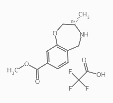 COC(=O)c1ccc2c(c1)OC[C@H](C)NC2.O=C(O)C(F)(F)F